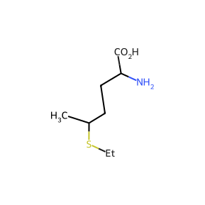 CCSC(C)CCC(N)C(=O)O